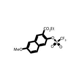 CCOC(=O)c1cc2cc(OC)ccc2cc1OS(=O)(=O)C(F)(F)F